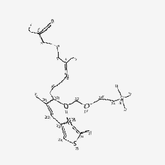 C=C(C)CCCC(C)=CCC(OCOCC[Si](C)(C)C)C(C)=Cc1csc(C)n1